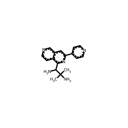 CC(C)(N)C(N)c1nc(-c2ccncc2)cc2cnccc12